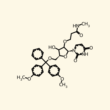 CNC(=O)CCOC1C(O)[C@H](COC(c2ccccc2)(c2ccc(OC)cc2)c2ccc(OC)cc2)O[C@@H]1n1ccc(=O)[nH]c1=O